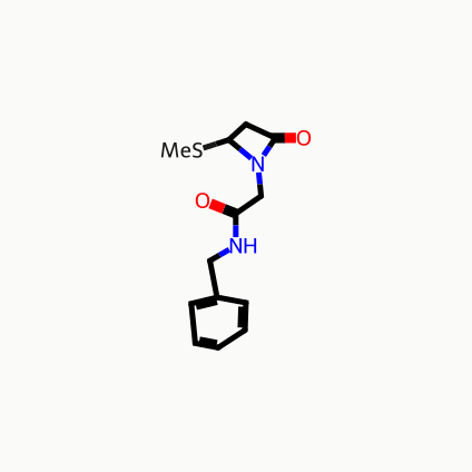 CSC1CC(=O)N1CC(=O)NCc1ccccc1